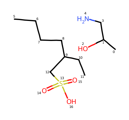 CC(O)CN.CCCCC(CC)CS(=O)(=O)O